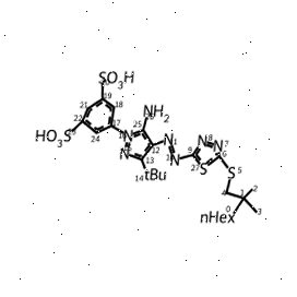 CCCCCCC(C)(C)CSc1nnc(N=Nc2c(C(C)(C)C)nn(-c3cc(S(=O)(=O)O)cc(S(=O)(=O)O)c3)c2N)s1